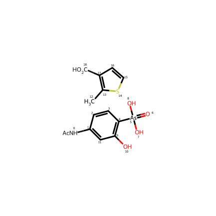 CC(=O)Nc1ccc([As](=O)(O)O)c(O)c1.Cc1sccc1C(=O)O